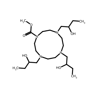 CCC(O)CN1CCN(CC(O)CC)CCN(C(=O)OC)CCN(CC(O)CC)CC1